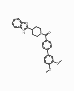 COc1ccc(-c2ccc(C(=O)N3CCC(c4nc5ccccc5[nH]4)CC3)cc2)cc1OC